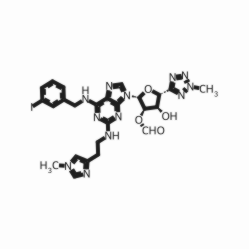 Cn1cnc(CCNc2nc(NCc3cccc(I)c3)c3ncn([C@@H]4O[C@H](c5nnn(C)n5)[C@@H](O)[C@H]4OC=O)c3n2)c1